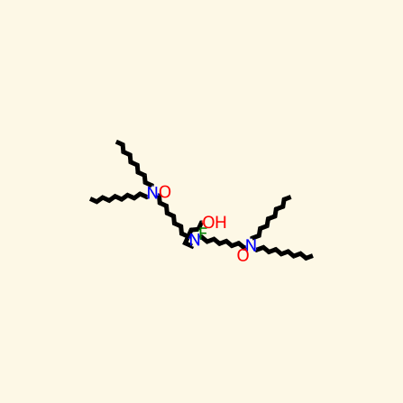 CCCCCCCCCCN(CCCCCCCCCC)C(=O)CCCCCCCN1CCC1(CCCCCCCC(=O)N(CCCCCCCCCC)CCCCCCCCCC)CC(F)CO